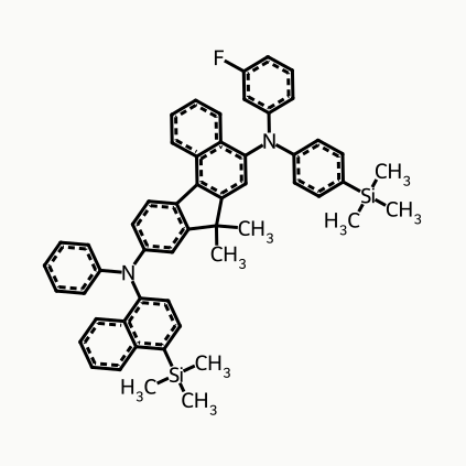 CC1(C)c2cc(N(c3ccccc3)c3ccc([Si](C)(C)C)c4ccccc34)ccc2-c2c1cc(N(c1ccc([Si](C)(C)C)cc1)c1cccc(F)c1)c1ccccc21